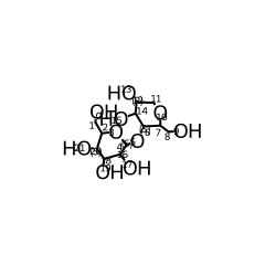 OCC1O[C@@H](O[C@@H]2C(CO)OC[C@@H](O)C2O)C(O)C(O)[C@@H]1O